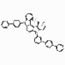 C=Cc1c(/C=C\C)n(-c2cccc(-c3ccc(-c4ccccc4)cc3)c2)c2ccc3c(c4ccccc4n3-c3ccc(-c4ccccc4)cc3)c12